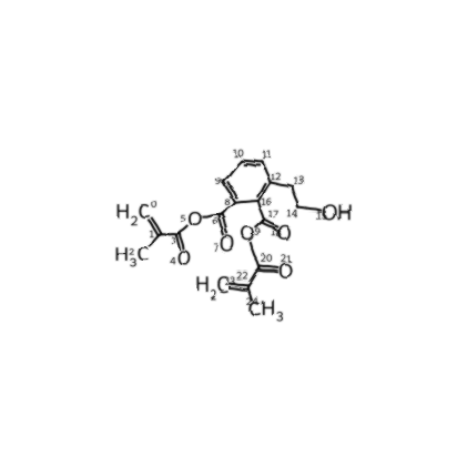 C=C(C)C(=O)OC(=O)c1cccc(CCO)c1C(=O)OC(=O)C(=C)C